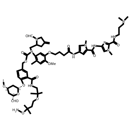 C=C1CC(CN(C(=O)OCc2ccc(O[C@H]3C[C@@H](OI)C[C@@H](C=O)O3)c(C(=O)NCC(C)(C)OCCC(C)(C)ON)c2)c2cc(OCCCC(=O)Nc3cc(C(=O)Nc4cn(C)c(C(=O)NCCCN(C)C)n4)n(C)c3)c(OC)cc2C)N(C=O)C1